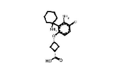 Nc1c(Cl)ccc(O[C@H]2C[C@@H](C(=O)O)C2)c1C1(N)CCCCC1